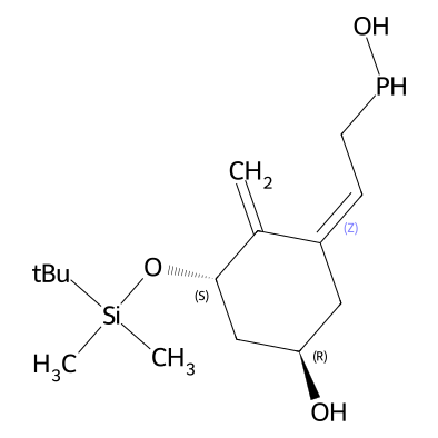 C=C1/C(=C\CPO)C[C@@H](O)C[C@@H]1O[Si](C)(C)C(C)(C)C